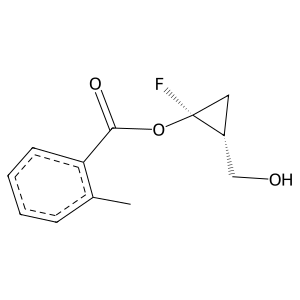 Cc1ccccc1C(=O)O[C@@]1(F)C[C@@H]1CO